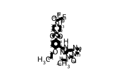 CCCOc1ccc(S(=O)(=O)N2CCN(C(=O)C(F)(F)F)CC2)cc1-c1nc2c([nH]1)c1nncn1c(=O)n2CCC